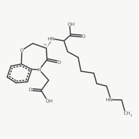 CCNCCCCCCC(N[C@H]1COc2ccccc2N(CC(=O)O)C1=O)C(=O)O